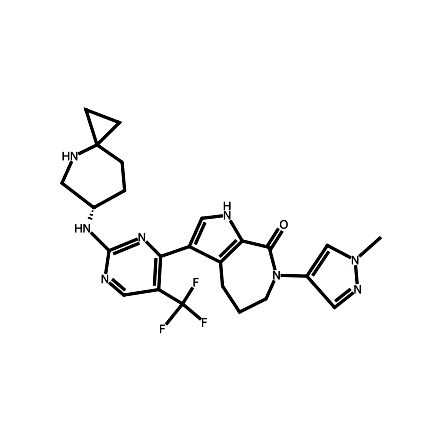 Cn1cc(N2CCCc3c(-c4nc(N[C@H]5CCC6(CC6)NC5)ncc4C(F)(F)F)c[nH]c3C2=O)cn1